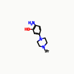 CC(C)N1CCN(c2ccc(N)c(O)c2)CC1